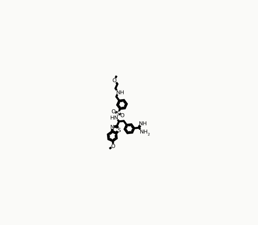 COCCNCc1cccc(S(=O)(=O)NC(Cc2cccc(C(=N)N)c2)c2nc3ccc(OC)cc3s2)c1